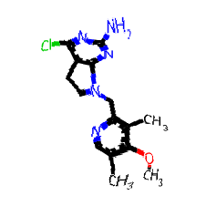 COc1c(C)cnc(CN2CCc3c(Cl)nc(N)nc32)c1C